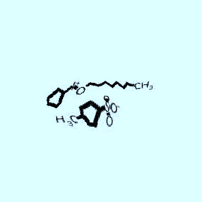 CCCCCCCCO[I+]c1ccccc1.Cc1ccc(S(=O)(=O)[O-])cc1